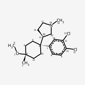 CO[C@]1(C)CC[C@@](c2ccc(Cl)c(Cl)c2)([C@H]2CCN(C)C2)CC1